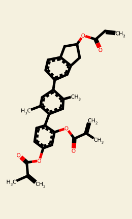 C=CC(=O)OC1Cc2ccc(-c3cc(C)c(-c4ccc(OC(=O)C(=C)C)cc4OC(=O)C(=C)C)cc3C)cc2C1